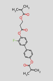 C=C(C)C(=O)OCCC(=O)Oc1ccc(-c2ccc(OC(=O)C(=C)C)cc2)cc1F